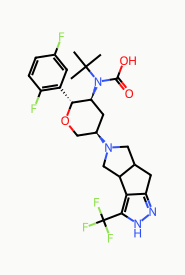 CC(C)(C)N(C(=O)O)[C@H]1C[C@@H](N2CC3Cc4n[nH]c(C(F)(F)F)c4C3C2)CO[C@@H]1c1cc(F)ccc1F